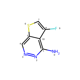 Nc1nncc2scc(F)c12